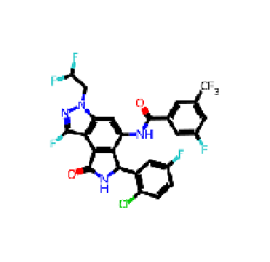 O=C(Nc1cc2c(c(F)nn2CC(F)F)c2c1C(c1cc(F)ccc1Cl)NC2=O)c1cc(F)cc(C(F)(F)F)c1